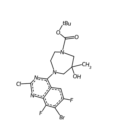 CC1(O)CN(C(=O)OC(C)(C)C)CCN(c2nc(Cl)nc3c(F)c(Br)c(F)cc23)C1